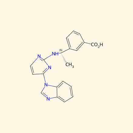 C[C@H](Nc1nccc(-n2cnc3ccccc32)n1)c1cccc(C(=O)O)c1